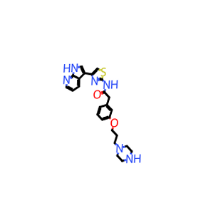 O=C(Cc1cccc(OCCCN2CCNCC2)c1)Nc1nc(-c2c[nH]c3ncccc23)cs1